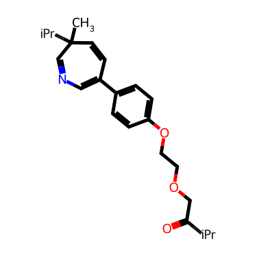 CC(C)C(=O)COCCOc1ccc(C2=CN=CC(C)(C(C)C)C=C2)cc1